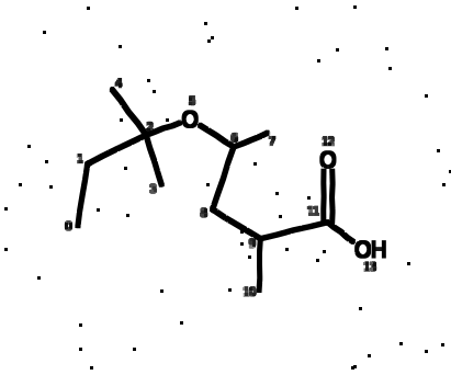 CCC(C)(C)OC(C)CC(C)C(=O)O